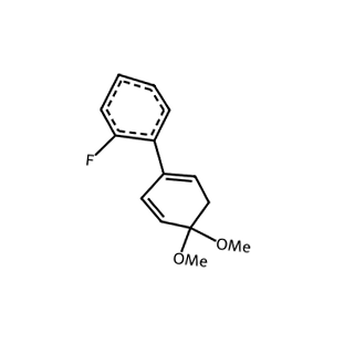 COC1(OC)C=CC(c2ccccc2F)=CC1